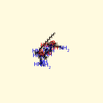 CCCCCCCCCCCCCCCC(=O)NC(C(=O)N[C@@H](CCCNC(=N)N)C(=O)N[C@H](C(=O)N[C@@H](CC(C)C)C(=O)N[C@@H](C)C(O)N[C@H](C(=O)N[C@@H](CCCCN)C(C)=O)[C@@H](C)O)C(C)C)C(C)C